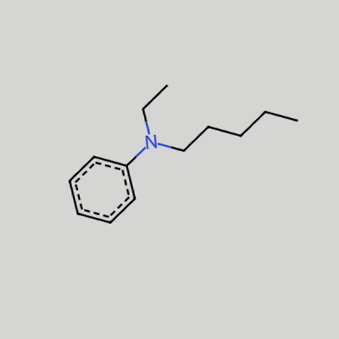 CCCCCN(CC)c1ccccc1